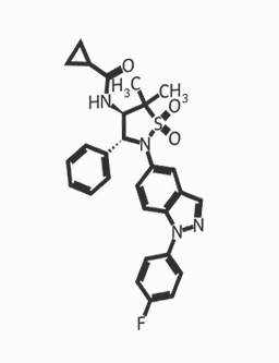 CC1(C)[C@H](NC(=O)C2CC2)[C@@H](c2ccccc2)N(c2ccc3c(cnn3-c3ccc(F)cc3)c2)S1(=O)=O